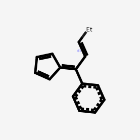 CC/C=C/C(=C1C=CC=C1)c1ccccc1